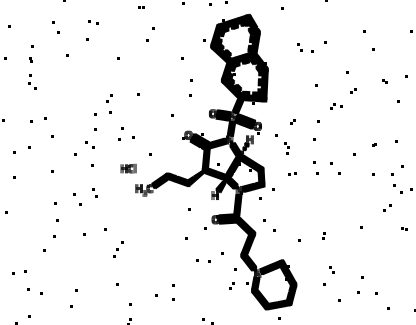 CCC[C@H]1C(=O)N(S(=O)(=O)c2ccc3ccccc3c2)[C@H]2CCN(C(=O)CCN3CCCCC3)[C@H]12.Cl